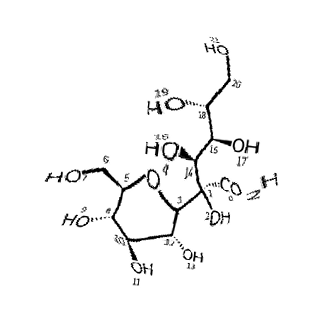 O=C(O)[C@](O)(C1O[C@H](CO)[C@@H](O)[C@H](O)[C@H]1O)[C@@H](O)[C@H](O)[C@H](O)CO